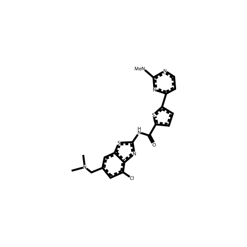 CNc1nccc(-c2ccc(C(=O)Nc3nc4c(Cl)cc(CN(C)C)cc4s3)s2)n1